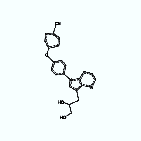 N#Cc1ccc(Oc2ccc(-n3cc(CC(O)CO)c4ncccc43)cc2)cc1